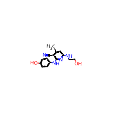 Cc1cc(NCCO)nc(Nc2ccc(O)cc2)c1C#N